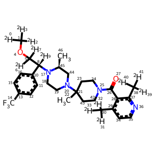 [2H]C([2H])([2H])OC([2H])([2H])[C@@]([2H])(c1ccc(C(F)(F)F)cc1)N1CCN(C2(C)CCN(C(=O)c3c(C([2H])([2H])[2H])ccnc3C([2H])([2H])[2H])CC2)C[C@@H]1C